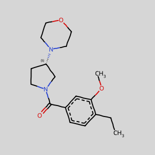 CCc1ccc(C(=O)N2CC[C@H](N3CCOCC3)C2)cc1OC